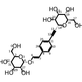 OC[C@H]1O[C@H](O/C=C/c2ccc(C#C[C@H]3O[C@H](CO)[C@@H](O)[C@H](O)[C@@H]3O)cc2)[C@@H](O)[C@@H](O)[C@@H]1O